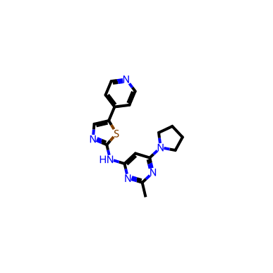 Cc1nc(Nc2ncc(-c3ccncc3)s2)cc(N2CCCC2)n1